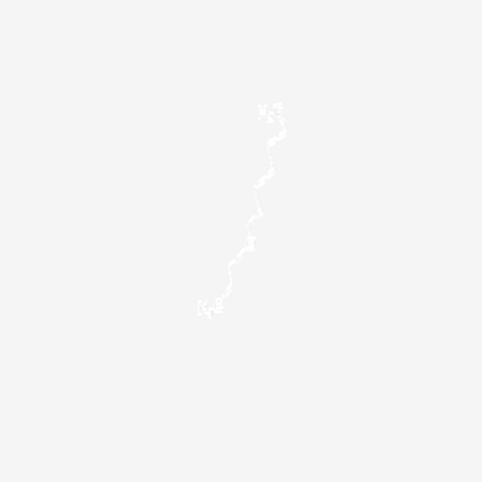 CCCCCC[CH]OCCC